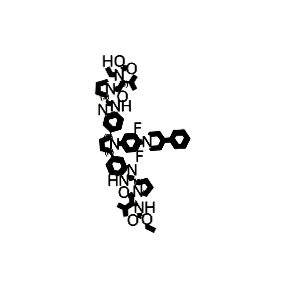 CCOC(=O)N[C@H](C(=O)N1CCC[C@H]1c1nc2cc([C@H]3CC[C@H](c4ccc5[nH]c([C@@H]6CCCN6C(=O)[C@H](C(C)C)N(CC)C(=O)O)nc5c4)N3c3cc(F)c(N4CCC(c5ccccc5)CC4)c(F)c3)ccc2[nH]1)C(C)C